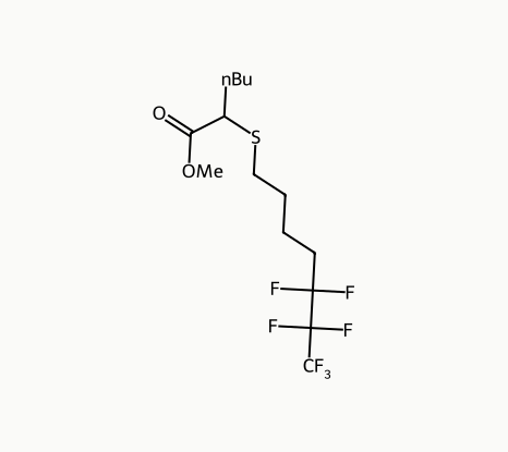 CCCCC(SCCCCC(F)(F)C(F)(F)C(F)(F)F)C(=O)OC